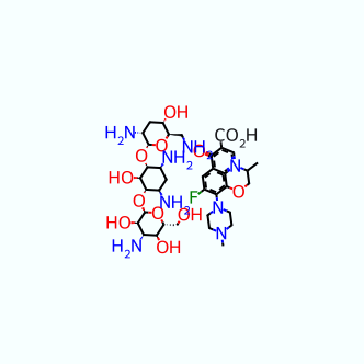 CC1COc2c(N3CCN(C)CC3)c(F)cc3c(=O)c(C(=O)O)cn1c23.NC[C@H]1O[C@H](O[C@H]2[C@H](O)[C@@H](O[C@H]3O[C@H](CO)[C@@H](O)[C@H](N)[C@H]3O)[C@H](N)C[C@@H]2N)[C@H](N)C[C@@H]1O